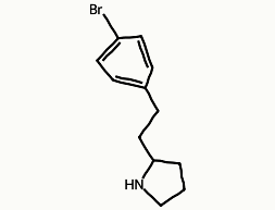 Brc1ccc(CCC2CCCN2)cc1